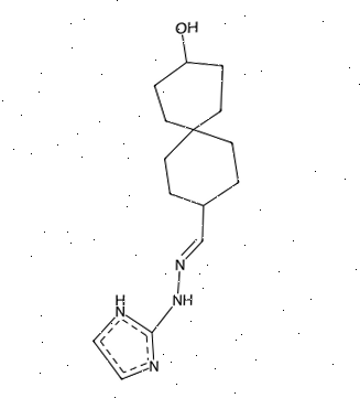 OC1CCC2(CC1)CCC(/C=N/Nc1ncc[nH]1)CC2